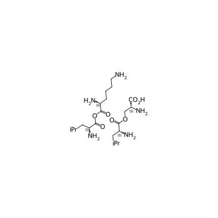 CC(C)C[C@H](N)C(=O)OC(=O)[C@@H](N)CCCCN.CC(C)C[C@H](N)C(=O)OC[C@H](N)C(=O)O